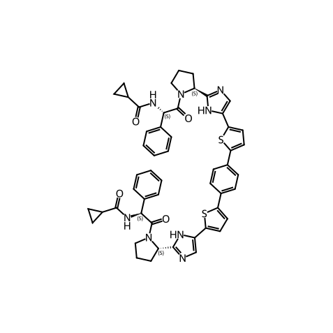 O=C(N[C@H](C(=O)N1CCC[C@H]1c1ncc(-c2ccc(-c3ccc(-c4ccc(-c5cnc([C@@H]6CCCN6C(=O)[C@@H](NC(=O)C6CC6)c6ccccc6)[nH]5)s4)cc3)s2)[nH]1)c1ccccc1)C1CC1